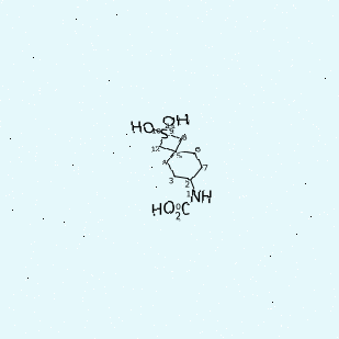 O=C(O)NC1CCC2(CC1)CS(O)(O)C2